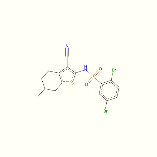 CC1CCc2c(sc(NS(=O)(=O)c3cc(Br)ccc3Br)c2C#N)C1